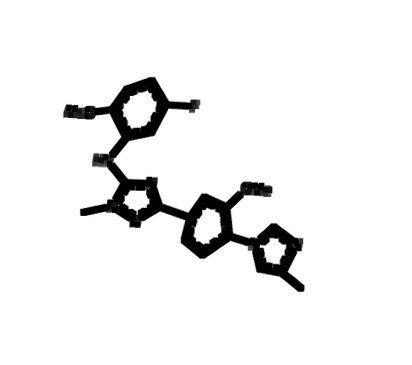 COc1ccc(F)cc1Nc1nc(-c2ccc(-n3cnc(C)c3)c(OC)c2)nn1C